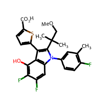 COCC(C)(C)c1c(-c2ccc(C(=O)O)s2)c2c(O)c(F)c(F)cc2n1-c1ccc(F)c(C)c1